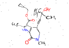 Cc1[nH]c2c(=O)n(C)cc(C#CC(C)(C)O)c2c1C(=O)OCC1CC1